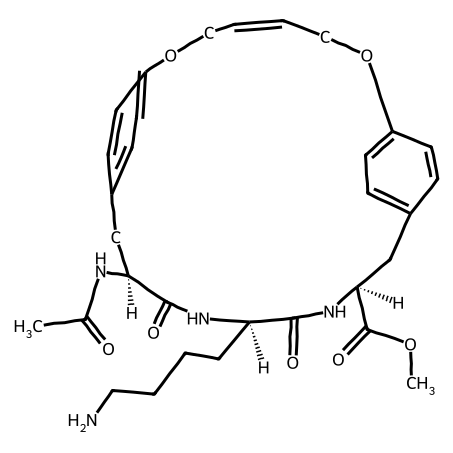 COC(=O)[C@@H]1Cc2ccc(cc2)OC/C=C\COc2ccc(cc2)C[C@H](NC(C)=O)C(=O)N[C@H](CCCCN)C(=O)N1